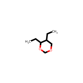 CCC1COCOC1CC